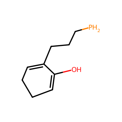 OC1=CCCC=C1CCCP